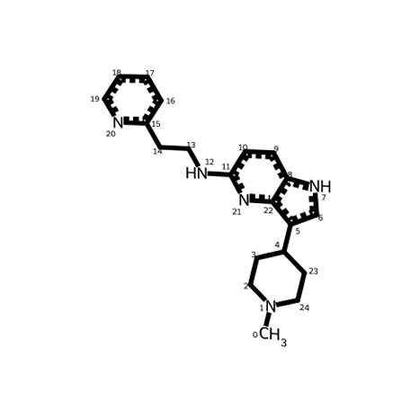 CN1CCC(c2c[nH]c3ccc(NCCc4ccccn4)nc23)CC1